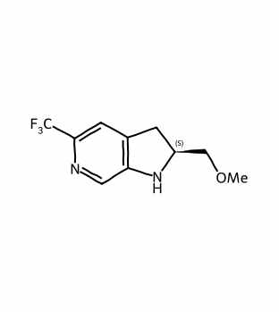 COC[C@@H]1Cc2cc(C(F)(F)F)ncc2N1